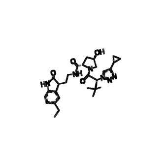 CCc1ccc2c(c1)C(CCNC(=O)[C@@H]1C[C@@H](O)CN1C(=O)[C@@H](n1cc(C3CC3)nn1)C(C)(C)C)C(=O)N2